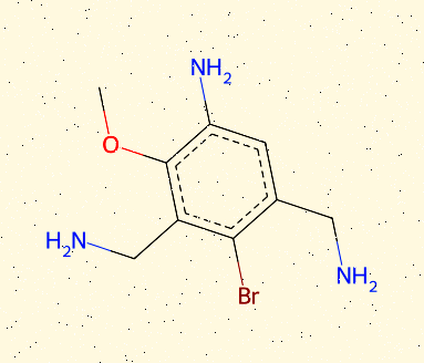 COc1c(N)cc(CN)c(Br)c1CN